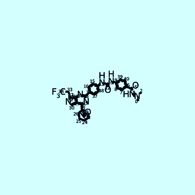 CN(C)NC(=O)c1ccc(NC(=O)Nc2ccc(-c3nc(N4CC5CCC4CO5)c4cnn(CC(F)(F)F)c4n3)cc2)cc1